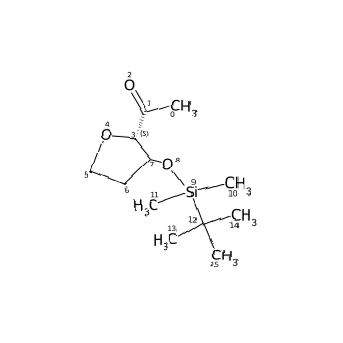 CC(=O)[C@H]1OCCC1O[Si](C)(C)C(C)(C)C